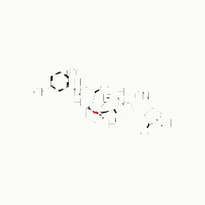 CC(C)C[C@@H](Nc1cccc(Cl)c1)C(=O)N1[C@@H]2CC[C@H]([C@@H]1C(=O)N[C@H](C#N)C[C@@H]1CCNC1=O)C(F)(F)C2